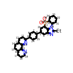 CCc1nc2cc(-c3ccc(-c4ccc5ccc6cccnc6c5n4)cc3)cc3c2n1-c1ccccc1S3(=O)=O